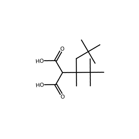 CC(C)(C)CC(C)(C(C(=O)O)C(=O)O)C(C)(C)C